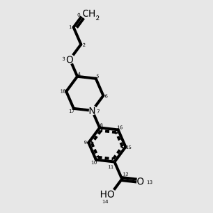 C=CCOC1CCN(c2ccc(C(=O)O)cc2)CC1